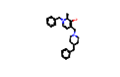 C=C1C(O)=C(CN2CCC(Cc3ccccc3)CC2)C=CN1Cc1ccccc1